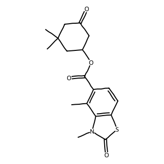 Cc1c(C(=O)OC2CC(=O)CC(C)(C)C2)ccc2sc(=O)n(C)c12